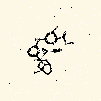 CNC(=O)c1ncc(Nc2nccc(N3CC4CC[C@H](C3)N4C(=O)[C@@H]3C[C@H]3C#N)n2)cc1F